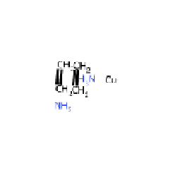 C=C.C=C.N.N.[Cu]